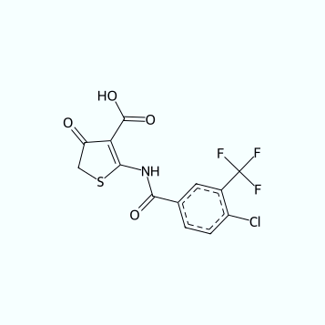 O=C(O)C1=C(NC(=O)c2ccc(Cl)c(C(F)(F)F)c2)SCC1=O